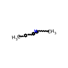 CCCCCCCCCCc1ccc(-c2ccc(CC/C=C/[C@H]3CC[C@H](CCCCC)CC3)cc2)nc1